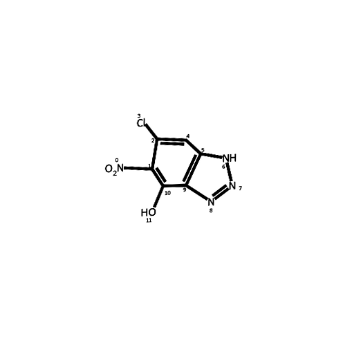 O=[N+]([O-])c1c(Cl)cc2[nH]nnc2c1O